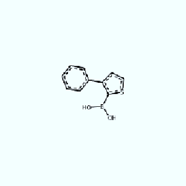 OB(O)c1sccc1-c1ccccc1